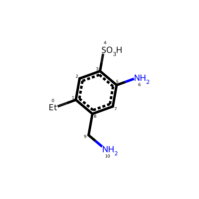 CCc1cc(S(=O)(=O)O)c(N)cc1CN